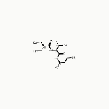 CC(=O)[C@H](CCN)NC(=O)[C@@H](NC(=O)[C@H](CN)CC(C)(C)C)[C@H](C)O